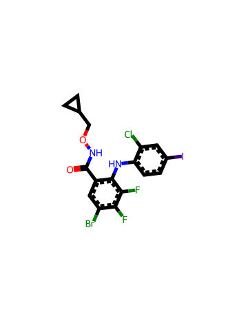 O=C(NOCC1CC1)c1cc(Br)c(F)c(F)c1Nc1ccc(I)cc1Cl